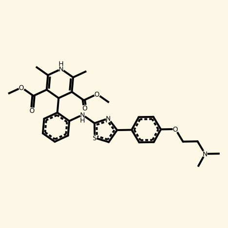 COC(=O)C1=C(C)NC(C)=C(C(=O)OC)C1c1ccccc1Nc1nc(-c2ccc(OCCN(C)C)cc2)cs1